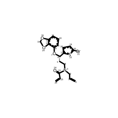 C=CCN(CC[C@H](Oc1cccc2c1OCO2)c1ccc(Br)s1)C(=O)C=C